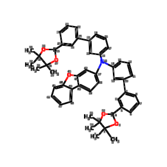 CC1(C)OB(c2cccc(-c3cccc(N(c4cccc(-c5cccc(B6OC(C)(C)C(C)(C)O6)c5)c4)c4ccc5c(c4)oc4ccccc45)c3)c2)OC1(C)C